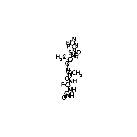 CCc1cc(N2C(=S)N(c3cnc(C#N)c(C(F)(F)F)c3)C(=O)C23CCC3)ccc1OCCN1CCN(CC(=O)Nc2cc(F)cc(NC3CCC(=O)NC3=O)c2)[C@H](C)C1